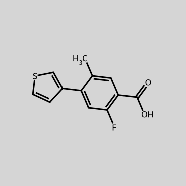 Cc1cc(C(=O)O)c(F)cc1-c1ccsc1